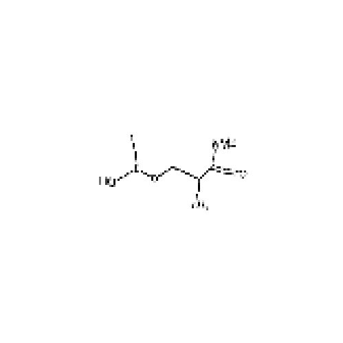 CNC(=O)C(C)COB(O)I